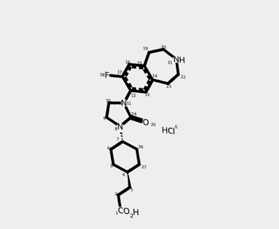 Cl.O=C(O)CC[C@H]1CC[C@H](N2CCN(c3cc4c(cc3F)CCNCC4)C2=O)CC1